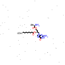 CCCCCCCCCCCCCCCCCC(=O)OC[C@H](CCOC(=O)[C@@H](N)[C@@H](C)CC)Cn1cnc2c(=O)[nH]c(N)nc21